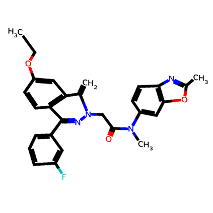 C=C1c2cc(OCC)ccc2C(c2cccc(F)c2)=NN1CC(=O)N(C)c1ccc2nc(C)oc2c1